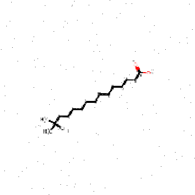 CC(C)(C)CCCCCCCCCCCCC([O])=O